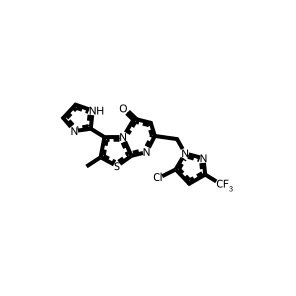 Cc1sc2nc(Cn3nc(C(F)(F)F)cc3Cl)cc(=O)n2c1-c1ncc[nH]1